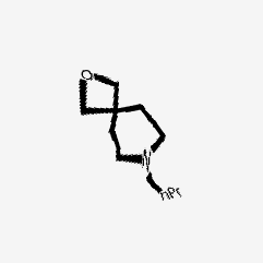 CCCN1CCC2(CC1)COC2